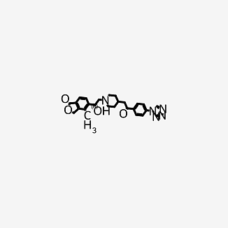 Cc1c([C@@H](O)CN2CCC(CC(=O)c3ccc(-n4cnnn4)cc3)CC2)ccc2c1COC2=O